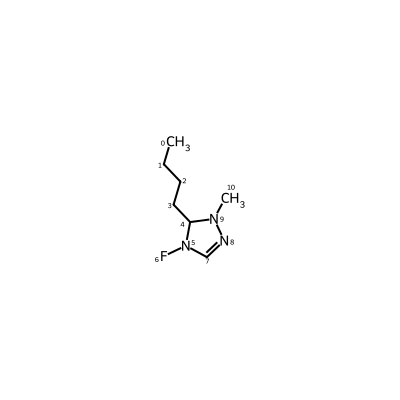 CCCCC1N(F)C=NN1C